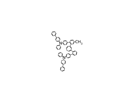 Cc1ccc(-c2ccc(N(c3ccccc3)c3ccc(-c4ccccc4)cc3)cc2)c(C2=CC(c3ccccc3-c3ccc(N(c4ccccc4)C4C=CC(c5ccccc5)=CC4)cc3)=CCC=C2)c1